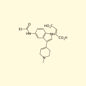 CCC(=O)Nc1ccc2[nH]cc(C3=CCN(C)CC3)c2c1.O=C(O)C=CC(=O)O